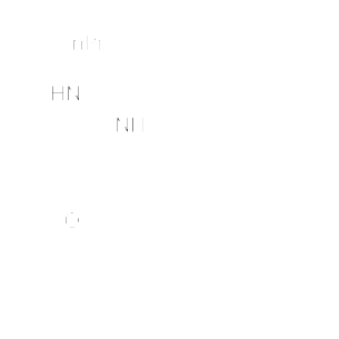 CCCNNC(=O)c1ccccc1